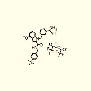 COc1cccc2c1cc(C(=O)NCc1ccc([N+](C)(C)C)cc1)n2Cc1cccc(C(=N)N)c1.O=C(O)C(F)(F)F.O=C([O-])C(F)(F)F